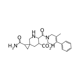 CC1=C(c2ccccc2)CCN(C(=O)C2NCC3(CC2C(=O)O)CC3C(N)=O)C1